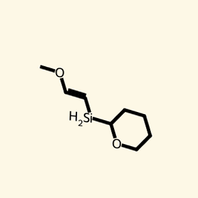 COC=C[SiH2]C1CCCCO1